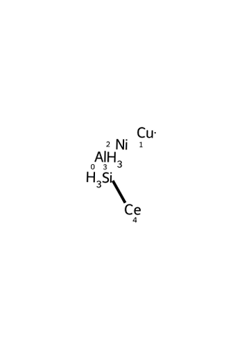 [AlH3].[Cu].[Ni].[SiH3][Ce]